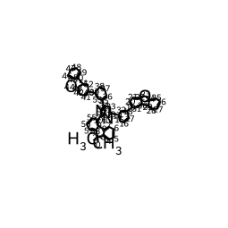 CC1(C)c2ccccc2-c2c(-c3nc(-c4cccc(-c5ccc6oc7ccccc7c6c5)c4)cc(-c4cccc(-c5ccc6oc7ccccc7c6c5)c4)n3)cccc21